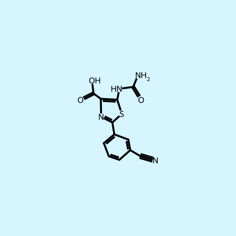 N#Cc1cccc(-c2nc(C(=O)O)c(NC(N)=O)s2)c1